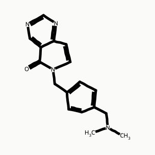 CN(C)Cc1ccc(Cn2ccc3ncncc3c2=O)cc1